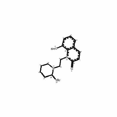 COc1cccc2ccc(=O)n(CCN3CC[CH]CC3C(C)(C)C)c12